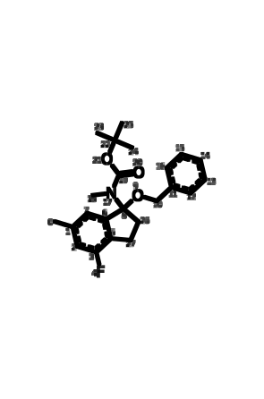 Cc1cc(F)c2c(c1)C(OCc1ccccc1)(N(C)C(=O)OC(C)(C)C)CC2